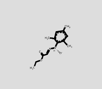 CCOC(=O)C=N[S@@+]([O-])c1c(C)cc(C)cc1C